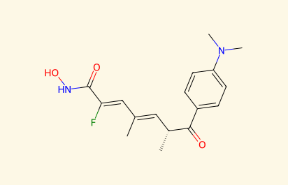 CC(/C=C(\F)C(=O)NO)=C\[C@@H](C)C(=O)c1ccc(N(C)C)cc1